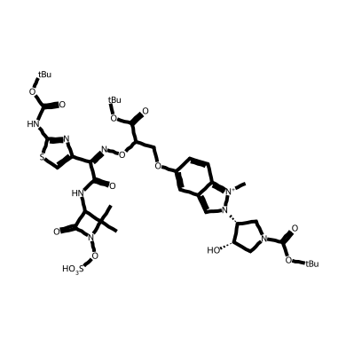 C[n+]1c2ccc(OCC(ON=C(C(=O)NC3C(=O)N(OS(=O)(=O)O)C3(C)C)c3csc(NC(=O)OC(C)(C)C)n3)C(=O)OC(C)(C)C)cc2cn1[C@@H]1CN(C(=O)OC(C)(C)C)C[C@@H]1O